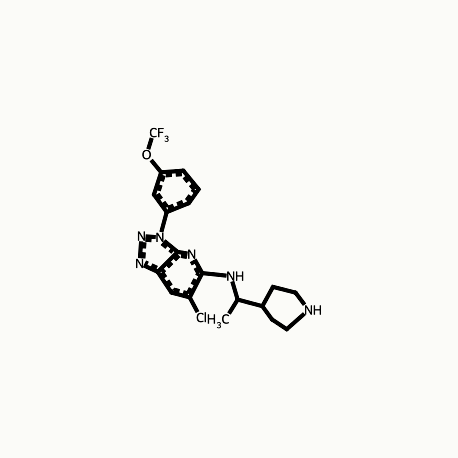 CC(Nc1nc2c(cc1Cl)nnn2-c1cccc(OC(F)(F)F)c1)C1CCNCC1